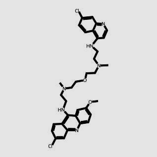 COc1ccc2nc3cc(Cl)ccc3c(NCCN(C)CCOCCN(C)CCNc3ccnc4cc(Cl)ccc34)c2c1